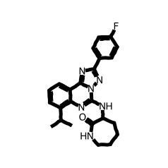 CC(C)c1cccc2c1nc(NC1CCCCNC1=O)n1nc(-c3ccc(F)cc3)nc21